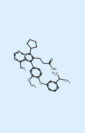 COc1cc(-c2c(CCC(=O)O)c(C3CCCC3)n3ncnc(N)c23)ccc1Oc1cccc(C(C)C)c1